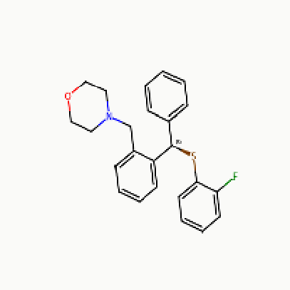 Fc1ccccc1S[C@H](c1ccccc1)c1ccccc1CN1CCOCC1